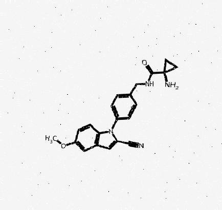 COc1ccc2c(c1)cc(C#N)n2-c1ccc(CNC(=O)C2(N)CC2)cc1